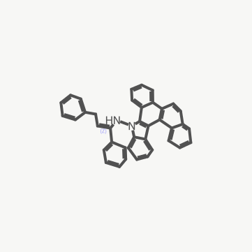 C(/Cc1ccccc1)=C(/Nn1c2ccccc2c2c3c4ccccc4ccc3c3ccccc3c21)c1ccccc1